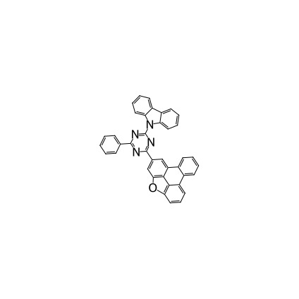 c1ccc(-c2nc(-c3cc4oc5cccc6c7ccccc7c(c3)c4c56)nc(-n3c4ccccc4c4ccccc43)n2)cc1